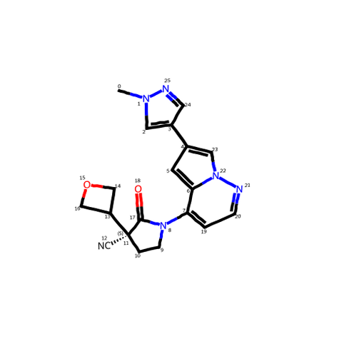 Cn1cc(-c2cc3c(N4CC[C@@](C#N)(C5COC5)C4=O)ccnn3c2)cn1